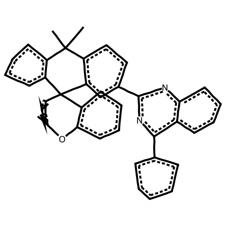 CC1(C)c2ccccc2C2(c3ccccc3Oc3ccccc32)c2cc(-c3nc(-c4ccccc4)c4ccccc4n3)ccc21